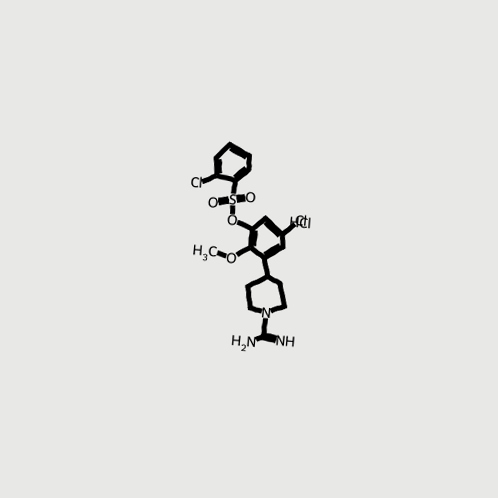 COc1c(OS(=O)(=O)c2ccccc2Cl)cc(Cl)cc1C1CCN(C(=N)N)CC1.Cl